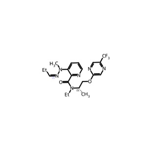 CC/C=N\N(C)c1cccnc1C(=O)N(CC)[C@@H](C)COc1cnc(C(F)(F)F)cn1